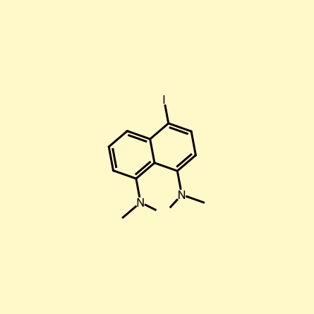 CN(C)c1cccc2c(I)ccc(N(C)C)c12